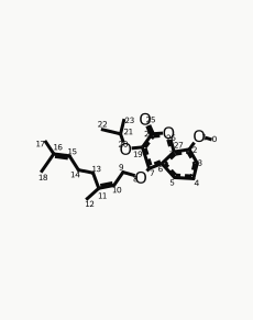 COc1cccc2c(OCC=C(C)CCC=C(C)C)c(OC(C)C)c(=O)oc12